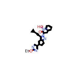 CCOc1ncc(-c2ccc3nn(C(Cc4ccccc4)C(=O)NO)c(C#CC4CC4)c3c2)cn1